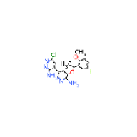 COc1ccc(F)cc1C(C)Oc1cc(-c2cc(Cl)nnc2N)cnc1N